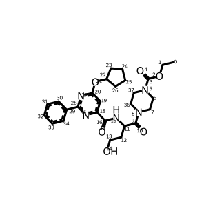 CCOC(=O)N1CCN(C(=O)C(CCO)NC(=O)c2cc(OC3CCCC3)nc(-c3ccccc3)n2)CC1